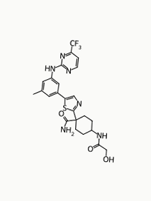 Cc1cc(Nc2nccc(C(F)(F)F)n2)cc(-c2cnc(C3(C(N)=O)CCC(NC(=O)CO)CC3)s2)c1